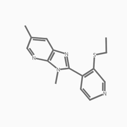 CCSc1cnccc1-c1nc2cc(C)cnc2n1C